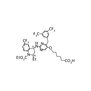 CCOC(=O)N1c2ccc(C(F)(F)F)cc2[C@@H](Nc2ncc(OCCCCCC(=O)O)c(Cc3cc(C(F)(F)F)cc(C(F)(F)F)c3)n2)C[C@H]1CC